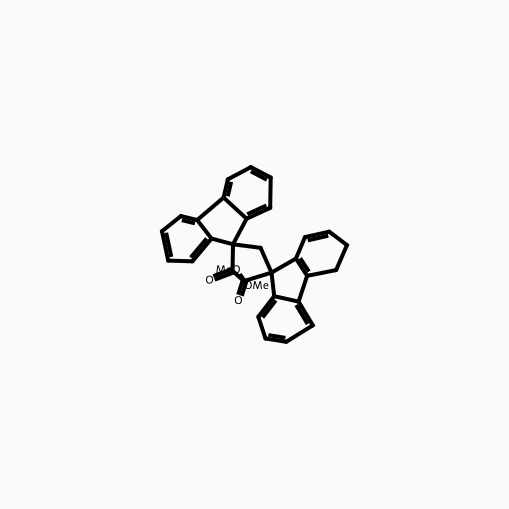 COC(=O)C1(CC2(C(=O)OC)c3ccccc3-c3ccccc32)C2=C(CCC=C2)c2ccccc21